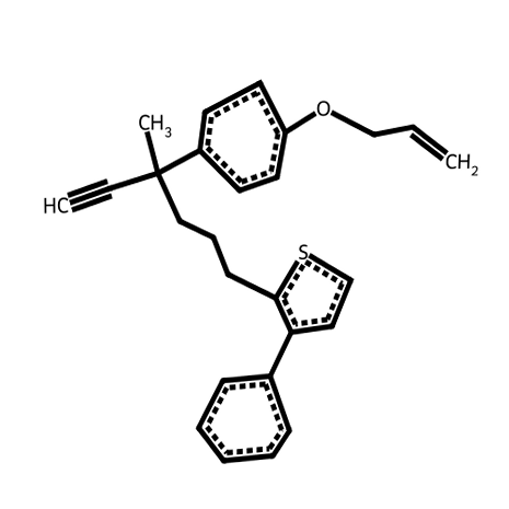 C#CC(C)(CCCc1sccc1-c1ccccc1)c1ccc(OCC=C)cc1